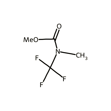 COC(=O)N(C)C(F)(F)F